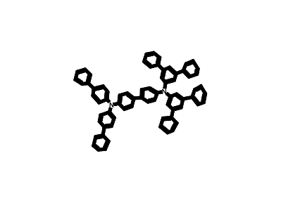 c1ccc(-c2ccc(N(c3ccc(-c4ccccc4)cc3)c3ccc(-c4ccc(N(c5cc(-c6ccccc6)cc(-c6ccccc6)c5)c5cc(-c6ccccc6)cc(-c6ccccc6)c5)cc4)cc3)cc2)cc1